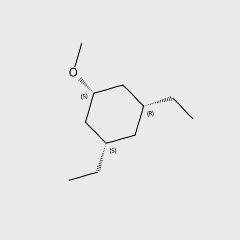 CC[C@@H]1C[C@H](CC)C[C@H](OC)C1